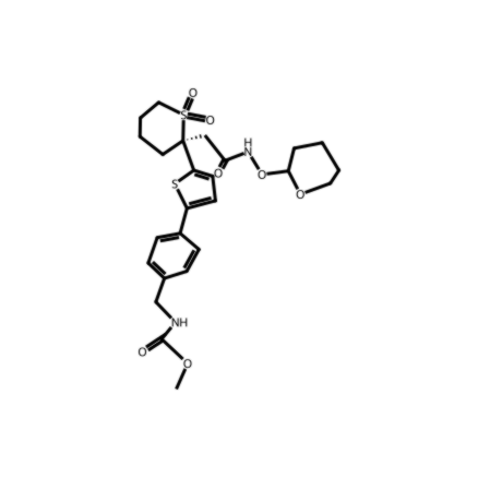 COC(=O)NCc1ccc(-c2ccc([C@@]3(CC(=O)NOC4CCCCO4)CCCCS3(=O)=O)s2)cc1